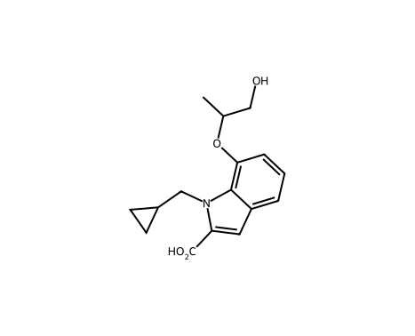 CC(CO)Oc1cccc2cc(C(=O)O)n(CC3CC3)c12